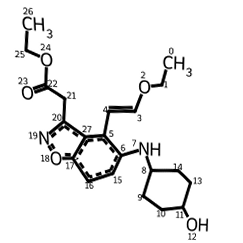 CCO/C=C/c1c(NC2CCC(O)CC2)ccc2onc(CC(=O)OCC)c12